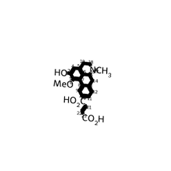 COc1c(O)cc2c3c1-c1ccccc1CC3N(C)CC2.O=C(O)/C=C/C(=O)O